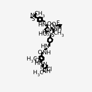 CNc1nc(Nc2ccc(C(=O)NCCNCC3CCC(CSC(C)(C)[C@H](NC(=O)C4(F)CC4)C(=O)N4C[C@H](O)CC4C(=O)NCc4ccc(-c5scnc5C)cc4)CC3)cc2OC)ncc1Cl